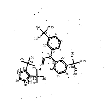 C=CB(c1cccc(C(F)(F)F)c1)c1cccc(C(F)(F)F)c1.CC(C)(C)c1nc[nH]c1C(C)(C)C